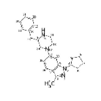 Cc1nn(C2CCCC2)c2cc(N3CCNC(Cc4ccccc4)C3)ccc12